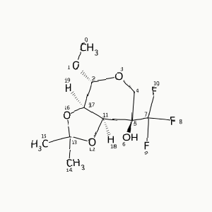 CO[C@@H]1OC[C@](O)(C(F)(F)F)[C@H]2OC(C)(C)O[C@@H]12